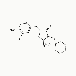 CC1(CN2C(=O)SC(Cc3ccc(O)c(C(F)(F)F)c3)C2=O)CCCCC1